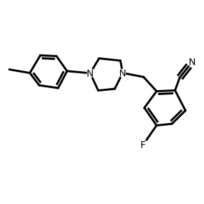 Cc1ccc(N2CCN(Cc3cc(F)ccc3C#N)CC2)cc1